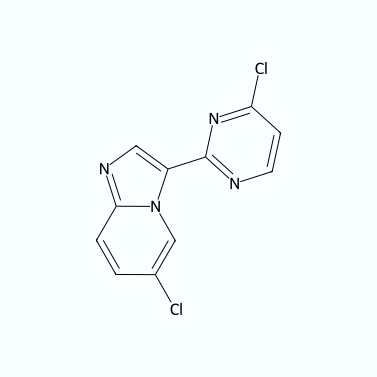 Clc1ccc2ncc(-c3nccc(Cl)n3)n2c1